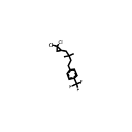 CC(C)(CCc1ccc(C(F)(F)F)cc1)CC1CC1(Cl)Cl